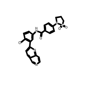 O=C(Nc1ccc(Cl)c(-c2ccc3cnccc3n2)c1)c1ccc(N2CCCS2(=O)=O)cc1